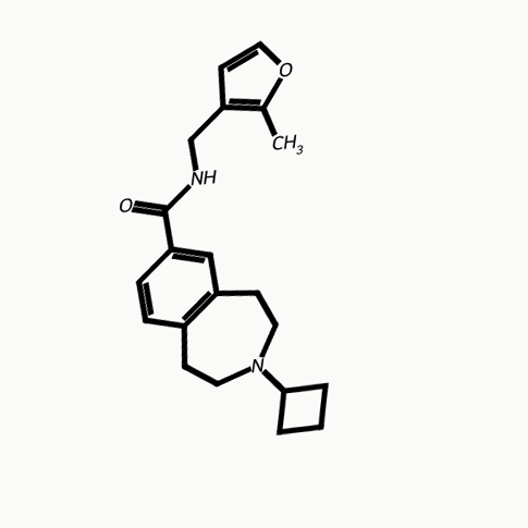 Cc1occc1CNC(=O)c1ccc2c(c1)CCN(C1CCC1)CC2